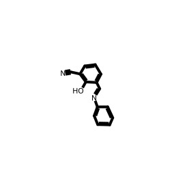 N#Cc1cccc(/C=N/c2ccccc2)c1O